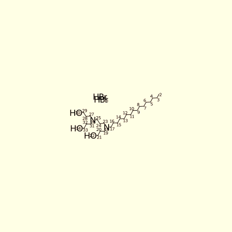 Br.Br.CCCCCCCCCCCCCCCCN(CCCO)CCCN(CCCO)CCCO